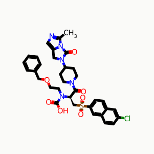 Cc1ncc2n1C(=O)N(C1CCN(C(=O)[C@@H](CS(=O)(=O)c3ccc4cc(Cl)ccc4c3)N(CCOCc3ccccc3)C(=O)O)CC1)C2